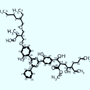 CCCCC(CC)COCC(COc1ccc(-c2nc(-c3ccccc3)nc(-c3ccc(C(O)C(CC(O)C(CC)CCCC)C(=O)OC)cc3O)n2)c(O)c1)C(C)OO